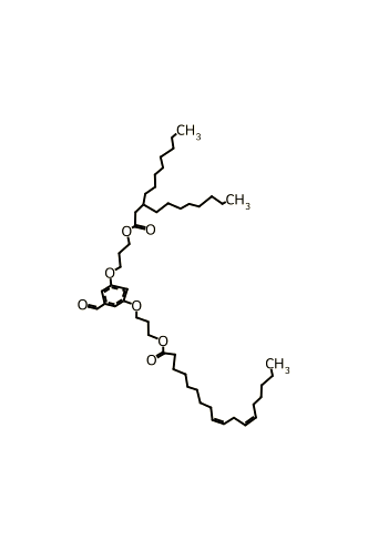 CCCCC/C=C\C/C=C\CCCCCCCC(=O)OCCCOc1cc(C=O)cc(OCCCOC(=O)CC(CCCCCCCC)CCCCCCCC)c1